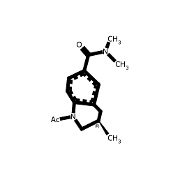 CC(=O)N1C[C@H](C)Cc2cc(C(=O)N(C)C)ccc21